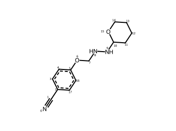 N#Cc1ccc(OCNNC2CCCCO2)cc1